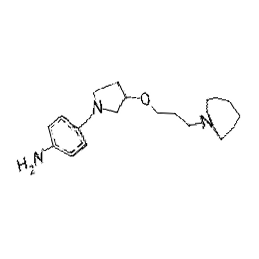 Nc1ccc(N2CCC(OCCCN3CCCCC3)C2)cc1